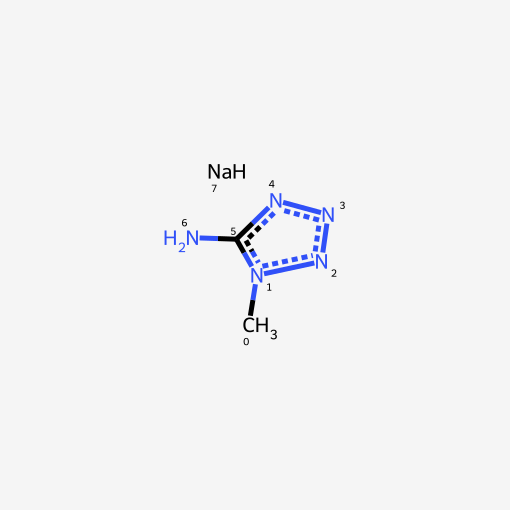 Cn1nnnc1N.[NaH]